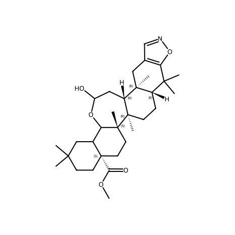 COC(=O)[C@]12CCC(C)(C)CC1C1OC(O)C[C@@H]3[C@@]4(C)Cc5cnoc5C(C)(C)[C@@H]4CC[C@@]3(C)[C@]1(C)CC2